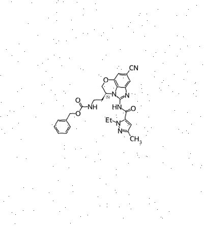 CCn1nc(C)cc1C(=O)Nc1nc2cc(C#N)cc3c2n1[C@@H](CCNC(=O)OCc1ccccc1)CO3